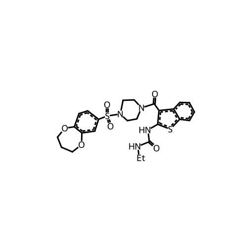 CCNC(=O)Nc1sc2ccccc2c1C(=O)N1CCN(S(=O)(=O)c2ccc3c(c2)OCCCO3)CC1